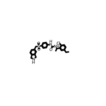 CCc1ccc(Cl)c(C(C)NC(=O)Nc2ccc(S(=O)(=O)Cc3ccc4c(c3)CNC4)cc2)c1